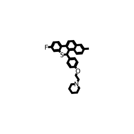 Cc1ccc2c3c(ccc2c1)-c1ccc(F)cc1SC3c1ccc(OCCN2CCCCC2)cc1